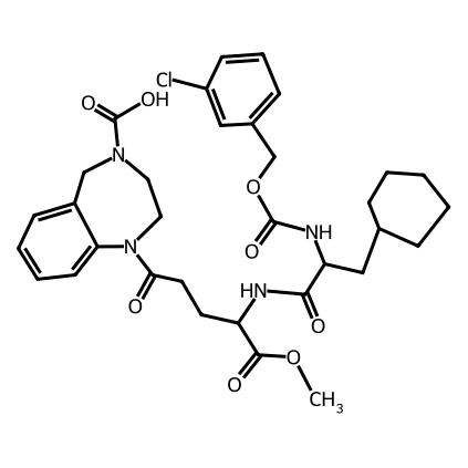 COC(=O)C(CCC(=O)N1CCN(C(=O)O)Cc2ccccc21)NC(=O)C(CC1CCCCC1)NC(=O)OCc1cccc(Cl)c1